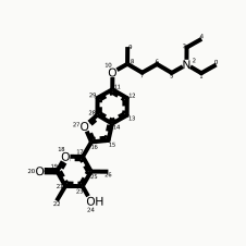 CCN(CC)CCCC(C)Oc1ccc2cc(-c3oc(=O)c(C)c(O)c3C)oc2c1